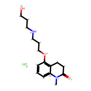 CN1C(=O)CCc2c(OCCCNCCCO)cccc21.Cl